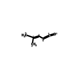 CC(C)=CN=C=O